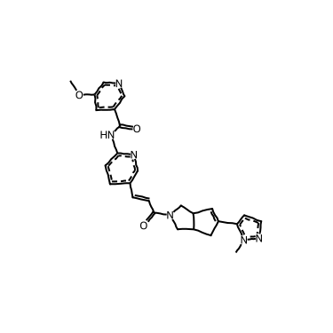 COc1cncc(C(=O)Nc2ccc(/C=C/C(=O)N3CC4C=C(c5ccnn5C)CC4C3)cn2)c1